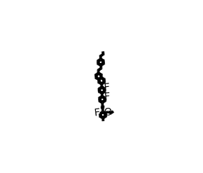 CCCc1ccc(CCc2ccc3cc(-c4ccc(-c5ccc(C#Cc6c(F)cc(C)cc6OCC)cc5F)cc4F)ccc3c2)cc1